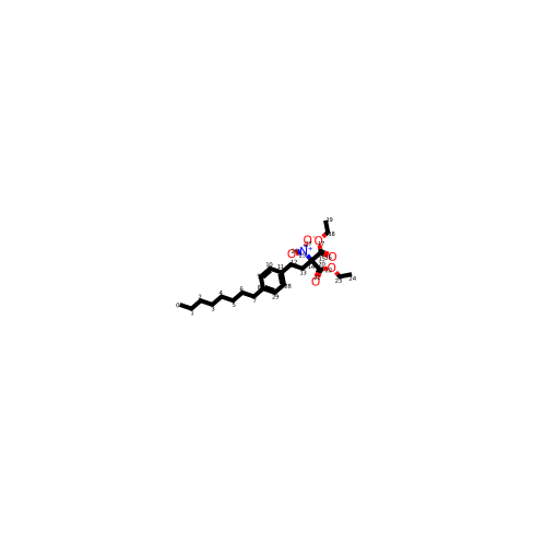 CCCCCCCCc1ccc(CCC(C(=O)OCC)(C(=O)OCC)[N+](=O)[O-])cc1